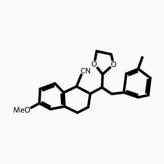 COc1ccc2c(c1)CCC(C(Cc1cccc(C)c1)C1OCCO1)C2C#N